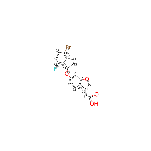 O=C(O)C[C@@H]1COc2cc(OC3CCc4c(Br)ccc(F)c43)ccc21